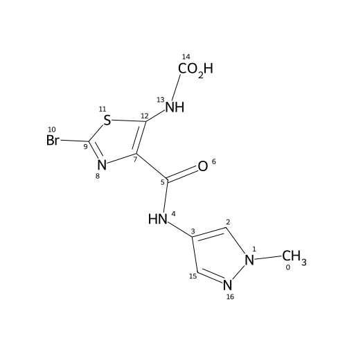 Cn1cc(NC(=O)c2nc(Br)sc2NC(=O)O)cn1